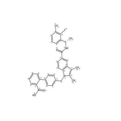 Cc1cccc([C@H](C)NC(=O)c2ccc3c(c2)c(C)c(C)n3Cc2ccc(-c3ccccc3C(=O)O)cc2)c1F